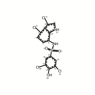 O=S(=O)(Nc1ccc(Cl)c2c(Cl)c[nH]c12)c1cc(Cl)c(O)c(Cl)c1